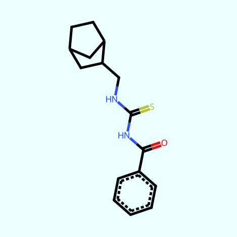 O=C(NC(=S)NCC1CC2CCC1C2)c1ccccc1